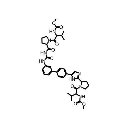 COC(=O)NC(C(=O)N1CCCC1C(=O)NC(=O)Nc1cccc(-c2ccc(-c3cnc(C4CCCN4C(=O)C(NC(=O)OC)C(C)C)[nH]3)cc2)c1)C(C)C